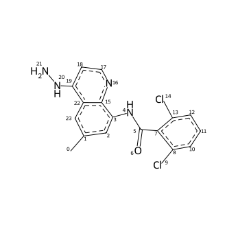 Cc1cc(NC(=O)c2c(Cl)cccc2Cl)c2nccc(NN)c2c1